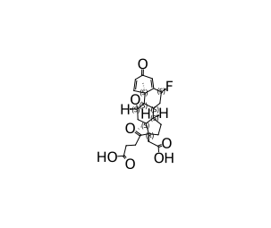 C[C@]12C=CC(=O)C=C1[C@@H](F)C[C@H]1[C@@H]3CC[C@](CC(=O)O)(C(=O)CCC(=O)O)[C@@]3(C)C[C@@H]3O[C@@]312